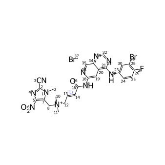 Cn1c(C#N)nc([N+](=O)[O-])c1C[N+](C)(C)C/C=C/C(=O)Nc1cc2c(Nc3ccc(F)c(Br)c3)ncnc2cn1.[Br-]